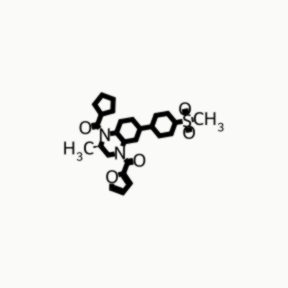 C[C@H]1CN(C(=O)c2ccco2)C2CC(C3CCC(S(C)(=O)=O)CC3)CCC2N1C(=O)C1CCCC1